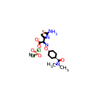 CN(C)C(=O)[C@H]1CC[C@H](ON=C(C(=O)[O-])c2csc(N)n2)CC1.O=S(=O)(Cl)Cl.[Na+]